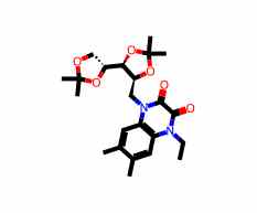 CCn1c(=O)c(=O)n(C[C@@H]2OC(C)(C)O[C@@H]2[C@H]2COC(C)(C)O2)c2cc(C)c(C)cc21